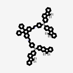 CCC1(CC)c2ccccc2-c2cc3ccc(N(c4ccc(/C=C/c5ccc6c(-c7ccccc7)c(-c7ccccc7)c7ccc(/C=C/c8ccc(N(c9ccc%10c%11c(ccc%10c9)-c9ccccc9C%11(CC)CC)c9ccc%10c%11c(ccc%10c9)-c9ccccc9C%11(CC)CC)cc8)cc7c6c5)cc4)c4ccc5c6c(ccc5c4)-c4ccccc4C6(CC)CC)cc3cc21